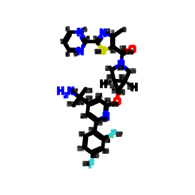 Cc1nc(-c2ncccn2)sc1C(=O)N1C[C@@H]2[C@H](C1)[C@@H]2Oc1cc(C(C)(C)N)cc(-c2ccc(F)cc2F)n1